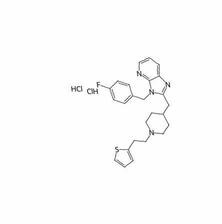 Cl.Cl.Fc1ccc(Cn2c(CC3CCN(CCc4cccs4)CC3)nc3cccnc32)cc1